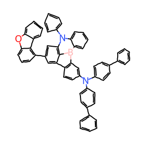 c1ccc(-c2ccc(N(c3ccc(-c4ccccc4)cc3)c3ccc4c(c3)B3c5ccccc5N(c5ccccc5)c5cc(-c6cccc7oc8ccccc8c67)cc-4c53)cc2)cc1